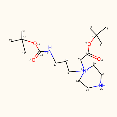 CC(C)(C)OC(=O)C[N+]1(CCCNC(=O)OC(C)(C)C)CCNCC1